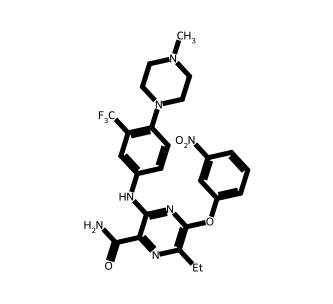 CCc1nc(C(N)=O)c(Nc2ccc(N3CCN(C)CC3)c(C(F)(F)F)c2)nc1Oc1cccc([N+](=O)[O-])c1